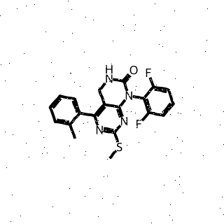 CSc1nc(-c2ccccc2C)c2c(n1)N(c1c(F)cccc1F)C(=O)NC2